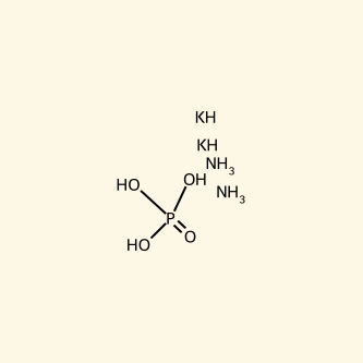 N.N.O=P(O)(O)O.[KH].[KH]